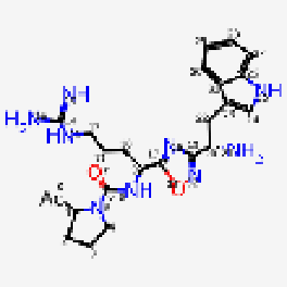 CC(=O)C1CCCN1C(=O)N[C@@H](CCCNC(=N)N)c1nc([C@@H](N)Cc2c[nH]c3ccccc23)no1